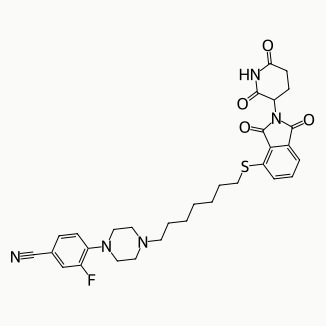 N#Cc1ccc(N2CCN(CCCCCCCSc3cccc4c3C(=O)N(C3CCC(=O)NC3=O)C4=O)CC2)c(F)c1